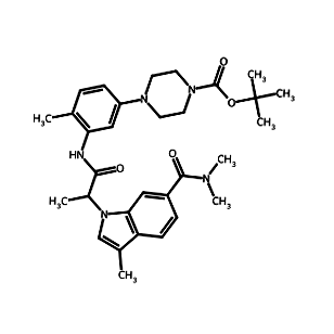 Cc1ccc(N2CCN(C(=O)OC(C)(C)C)CC2)cc1NC(=O)C(C)n1cc(C)c2ccc(C(=O)N(C)C)cc21